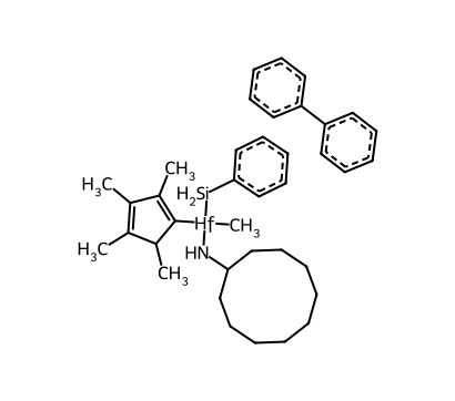 CC1=C(C)C(C)[C]([Hf]([CH3])([NH]C2CCCCCCCCC2)[SiH2]c2ccccc2)=C1C.c1ccc(-c2ccccc2)cc1